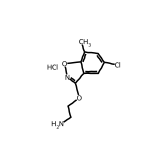 Cc1cc(Cl)cc2c(OCCN)noc12.Cl